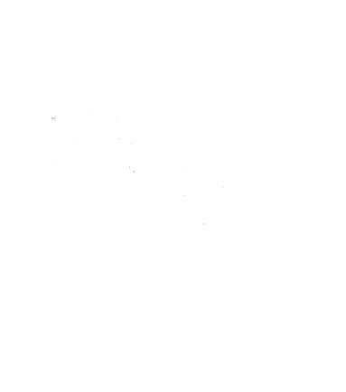 CCC=CC1CCC(CCc2ccc(-c3ccc(F)c(F)c3)nc2)CC1